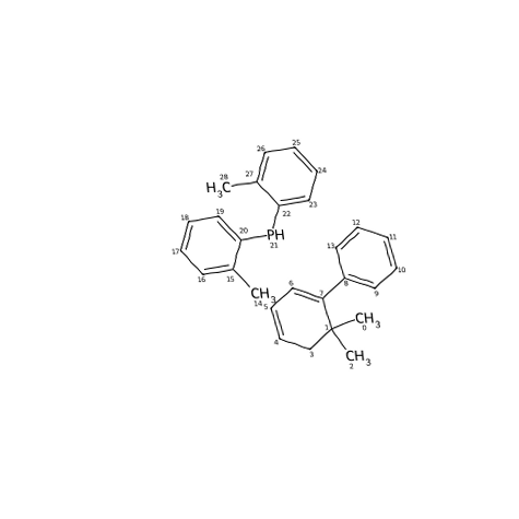 CC1(C)CC=CC=C1c1ccccc1.Cc1ccccc1Pc1ccccc1C